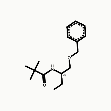 CC[C@H](COCc1ccccc1)NC(=O)C(C)(C)C